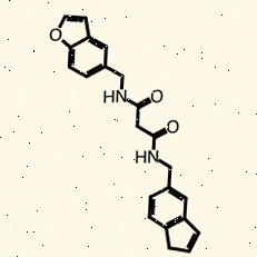 O=C(CC(=O)NCc1ccc2occc2c1)NCc1ccc2c(c1)C=CC2